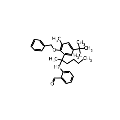 CCCCC(C)(Pc1ccccc1C=O)c1cc(C(C)(C)C)cc(C)c1OCc1ccccc1